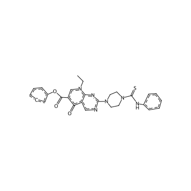 CCn1cc(C(=O)Oc2ccccc2)c(=O)c2cnc(N3CCN(C(=S)Nc4ccccc4)CC3)nc21